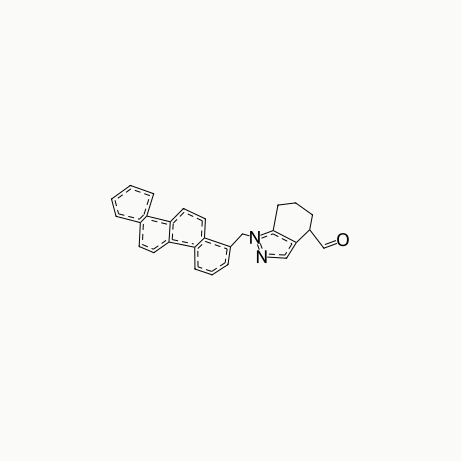 O=CC1CCCc2c1cnn2Cc1cccc2c1ccc1c3ccccc3ccc21